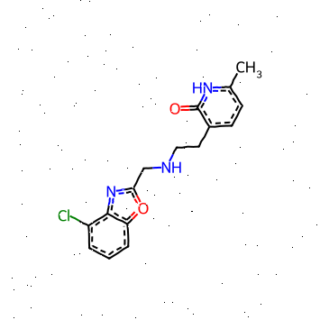 Cc1ccc(CCNCc2nc3c(Cl)cccc3o2)c(=O)[nH]1